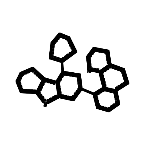 c1ccc(-c2cc(-c3cccc4ccc5cccnc5c34)cc3sc4ccccc4c23)cc1